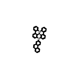 c1ccc2c(c1)-c1cccc3c1B1c4c(cccc4N3c3ccc4c(ccc5ccccc54)c3)-c3ccccc3N12